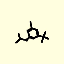 Cc1cc(C(C)(C)C)cc(OC(C)C)n1